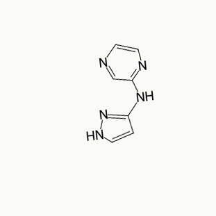 c1cnc(Nc2cc[nH]n2)cn1